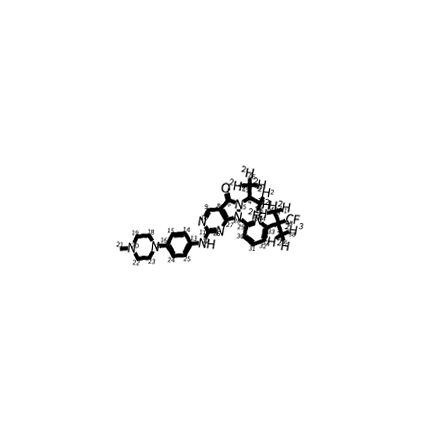 [2H]C([2H])([2H])C(n1c(=O)c2cnc(Nc3ccc(N4CCN(C)CC4)cc3)nc2n1-c1cccc(C(C([2H])([2H])[2H])(C([2H])([2H])[2H])C(F)(F)F)n1)C([2H])([2H])[2H]